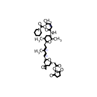 CC(/C=C/[C@@H]1C[C@]2(CO2)C[C@@H](CC(=O)ON2C(=O)CCC2=O)O1)=C\C[C@@H]1O[C@H](C)[C@H](NC(=O)/C=C\[C@H](C)OC(=O)N2CCCCC2)C[C@@H]1C